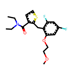 CCN(CC)C(=O)c1ccsc1Cc1c(F)cc(F)cc1OCCOC